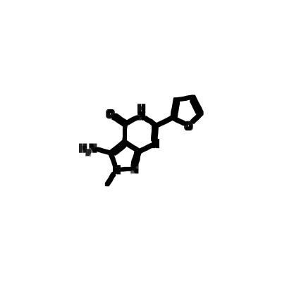 Cn1nc2nc(-c3ccco3)[nH]c(=O)c2c1N